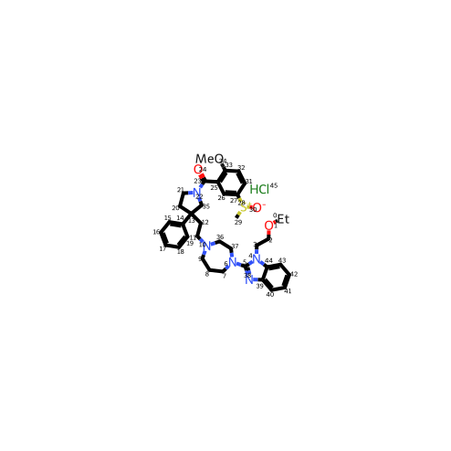 CCOCCn1c(N2CCCN(CCC3(c4ccccc4)CCN(C(=O)c4cc([S+](C)[O-])ccc4OC)C3)CC2)nc2ccccc21.Cl